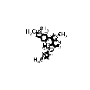 C[C@H]1Cc2ccc(-c3cn(C)c4nccc(NS(=O)(=O)c5ccn(C)n5)c34)cc2N1C